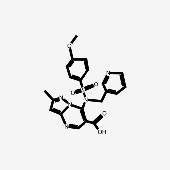 COc1ccc(S(=O)(=O)N(Cc2cccnc2)c2c(C(=O)O)cnc3cc(C)nn23)cc1